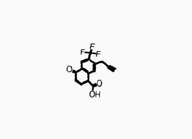 C#CCc1cc2c(cc1C(F)(F)F)C(=O)CCC2C(=O)O